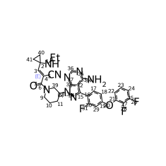 CCNC1(/C=C(\C#N)C(=O)N2CCC[C@H](n3nc(-c4ccc(Oc5cccc(F)c5F)cc4F)c4c(N)ncnc43)C2)CC1